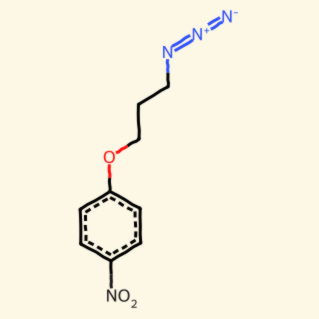 [N-]=[N+]=NCCCOc1ccc([N+](=O)[O-])cc1